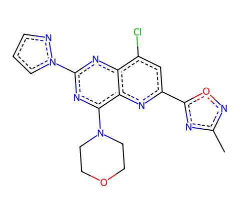 Cc1noc(-c2cc(Cl)c3nc(-n4cccn4)nc(N4CCOCC4)c3n2)n1